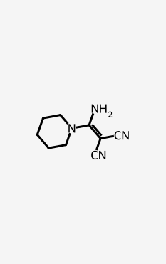 N#CC(C#N)=C(N)N1CCCCC1